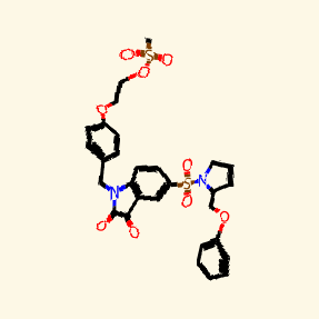 CS(=O)(=O)OCCOc1ccc(CN2C(=O)C(=O)c3cc(S(=O)(=O)N4CCCC4COc4ccccc4)ccc32)cc1